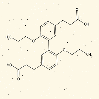 CCCOc1ccc(CCC(=O)O)cc1-c1cc(CCC(=O)O)ccc1OCCC